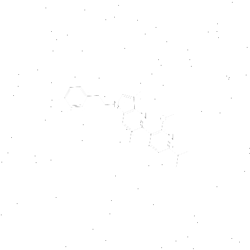 COc1nc(C(C)C)ccc1-c1nc2c(C)cn(CCc3ccccc3)c2cc1C